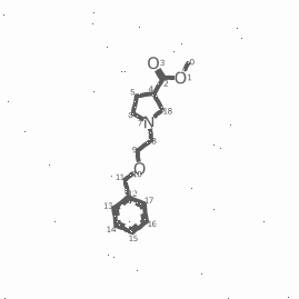 COC(=O)C1CCN(CCOCc2ccccc2)C1